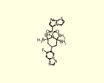 BC1(B)CC(c2cn3ncnc3cc2F)CC(B)(B)N1S(=O)(=O)c1cnc2sccn12